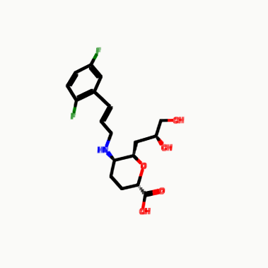 O=C(O)[C@@H]1CC[C@@H](NCC=Cc2cc(F)ccc2F)[C@@H](C[C@H](O)CO)O1